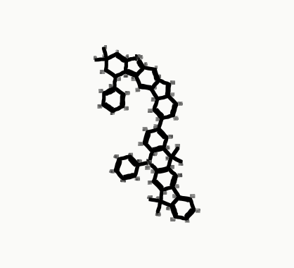 CC1(C)C=C2N=c3cc4c(cc3=C2C(c2ccccc2)C1)C1C=C(c2ccc3c(c2)C(C)(C)c2cc5c(cc2N3c2ccccc2)C(C)(C)c2ccccc2-5)C=CC1=C4